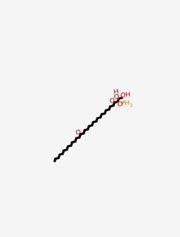 CCCCCCCCCCCCCC(=O)CCCCCCCCCCCCCCCC(=O)C(OP)C(O)CO